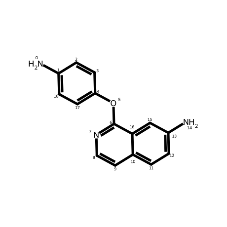 Nc1ccc(Oc2nccc3ccc(N)cc23)cc1